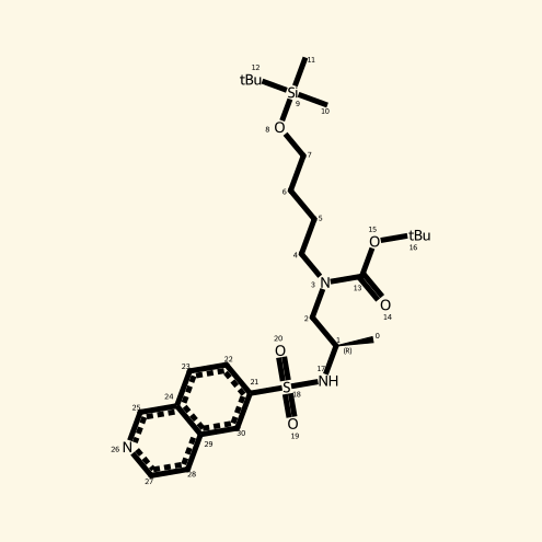 C[C@H](CN(CCCCO[Si](C)(C)C(C)(C)C)C(=O)OC(C)(C)C)NS(=O)(=O)c1ccc2cnccc2c1